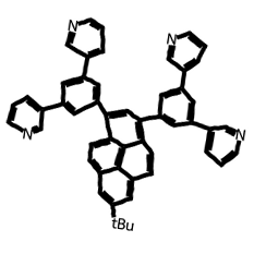 CC(C)(C)c1cc2ccc3c(-c4cc(-c5cccnc5)cc(-c5cccnc5)c4)cc(-c4cc(-c5cccnc5)cc(-c5cccnc5)c4)c4ccc(c1)c2c34